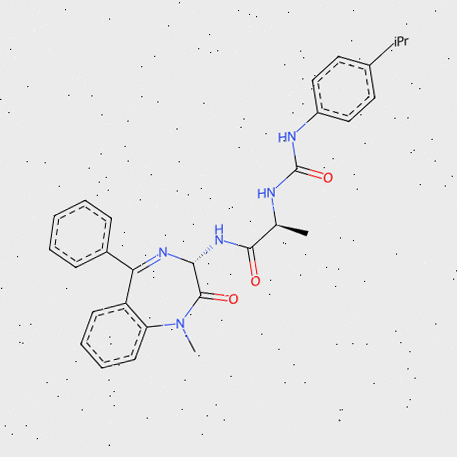 CC(C)c1ccc(NC(=O)N[C@@H](C)C(=O)N[C@H]2N=C(c3ccccc3)c3ccccc3N(C)C2=O)cc1